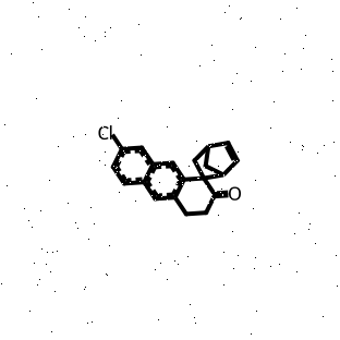 O=C1CCc2cc3ccc(Cl)cc3cc2C12CC1C=CC2C1